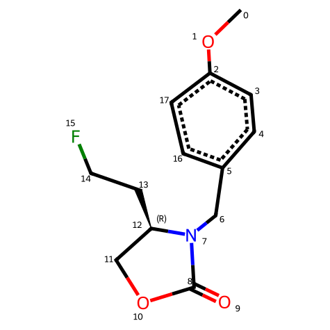 COc1ccc(CN2C(=O)OC[C@H]2CCF)cc1